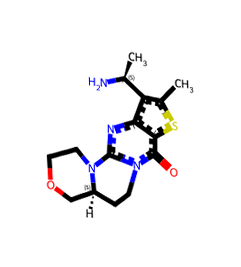 Cc1sc2c(=O)n3c(nc2c1[C@H](C)N)N1CCOC[C@@H]1CC3